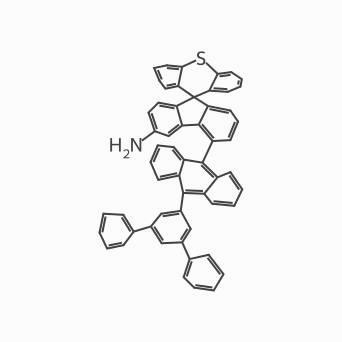 Nc1ccc2c(c1)-c1c(-c3c4ccccc4c(-c4cc(-c5ccccc5)cc(-c5ccccc5)c4)c4ccccc34)cccc1C21c2ccccc2Sc2ccccc21